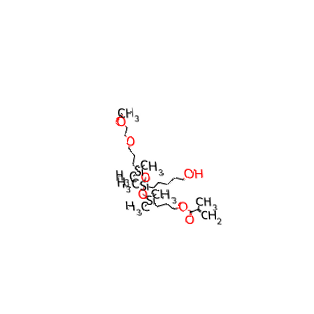 C=C(C)C(=O)OCCC[Si](C)(C)O[Si](C)(CCCCCO)O[Si](C)(C)CCCOCCOC